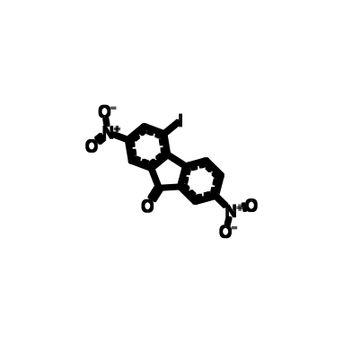 O=C1c2cc([N+](=O)[O-])ccc2-c2c(I)cc([N+](=O)[O-])cc21